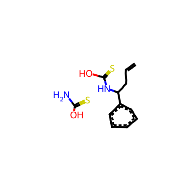 C=CCC(NC(O)=S)c1ccccc1.NC(O)=S